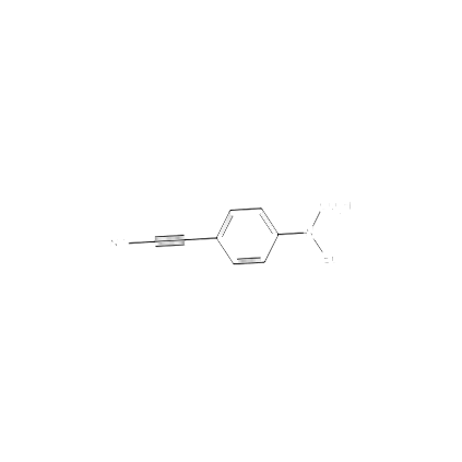 CCN(C(=O)O)c1ccc(C#CC#N)cc1